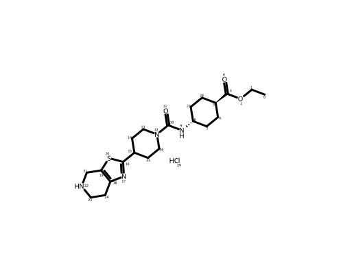 CCOC(=O)[C@H]1CC[C@H](NC(=O)N2CCC(c3nc4c(s3)CNCC4)CC2)CC1.Cl